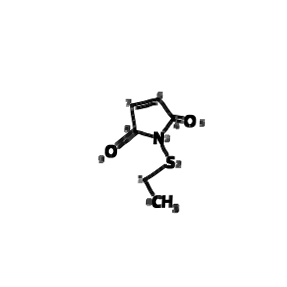 CCSN1C(=O)C=CC1=O